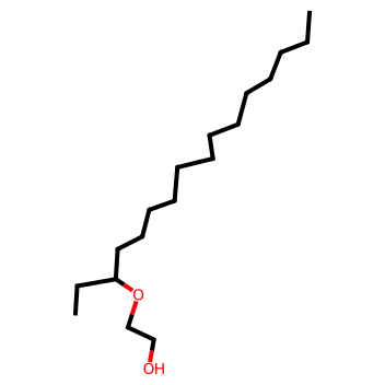 CCCCCCCCCCCCCC(CC)OCCO